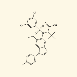 CCc1cc2c(ccn2-c2ccc(C)nn2)cc1N(C(C(=O)O)C(C)(C)C)S(=O)(=O)c1cc(Cl)cc(Cl)c1